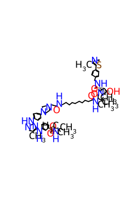 Cc1cnc(Nc2ccc(N3CCN(CC(=O)NCCCCCCCCCC(=O)NC(C(=O)N4C[C@H](O)C[C@H]4C(=O)NCc4ccc(-c5scnc5C)cc4)C(C)(C)C)CC3)cc2)nc1Nc1cccc(S(=O)(=O)NC(C)(C)C)c1